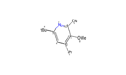 COc1c(C(C)C)cc(C(C)(C)C)nc1C#N